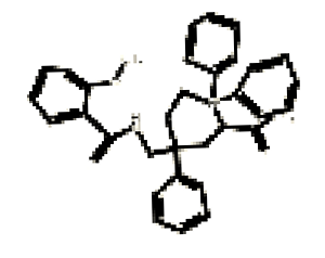 COc1ccccc1C(=O)NCC1(c2ccccc2)CC[N+](c2ccccc2)(c2ccccc2)C(C(C)=O)C1